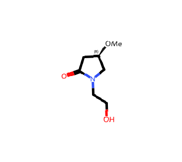 CO[C@@H]1CC(=O)N(CCO)C1